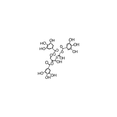 O=C[C@H](OC(=O)c1cc(O)c(O)c(O)c1)[C@@H](O)[C@H](OC(=O)c1cc(O)c(O)c(O)c1)[C@H](O)COC(=O)c1cc(O)c(O)c(O)c1